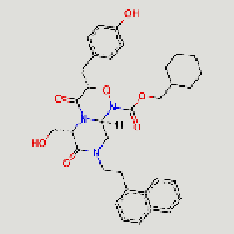 O=C1[C@H](CO)N2C(=O)[C@H](Cc3ccc(O)cc3)ON(C(=O)OCC3CCCCC3)[C@H]2CN1CCc1cccc2ccccc12